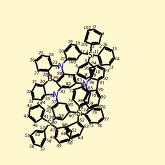 c1ccc([Si](c2ccccc2)(c2ccccc2)c2cccc(N3c4ccccc4B4c5ccccc5N(c5cc([Si](c6ccccc6)(c6ccccc6)c6ccccc6)cc([Si](c6ccccc6)(c6ccccc6)c6ccccc6)c5)c5cc(-n6c7ccccc7c7ccccc76)cc3c54)c2)cc1